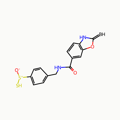 B=C1Nc2ccc(C(=O)NCc3ccc([S+]([O-])S)cc3)cc2O1